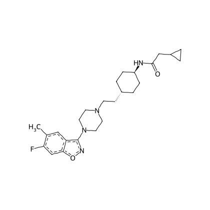 Cc1cc2c(N3CCN(CC[C@H]4CC[C@H](NC(=O)CC5CC5)CC4)CC3)noc2cc1F